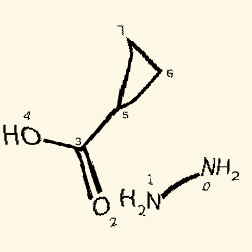 NN.O=C(O)C1CC1